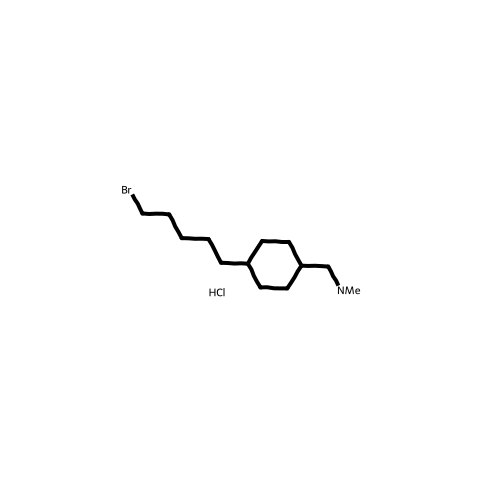 CNCC1CCC(CCCCCBr)CC1.Cl